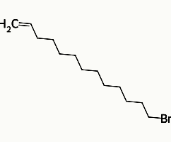 C=CCCCCCCCCCCCBr